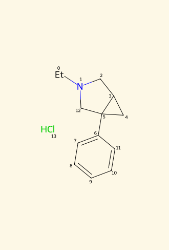 CCN1CC2CC2(c2ccccc2)C1.Cl